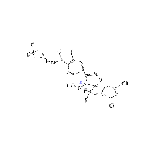 Cc1cc(C2=NOC(c3cc(Cl)cc(Cl)c3)(C(F)(F)F)/C2=N/O)ccc1C(=O)NC1CS(=O)(=O)C1